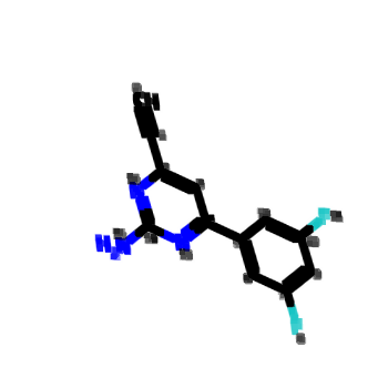 C#Cc1cc(-c2cc(F)cc(F)c2)nc(N)n1